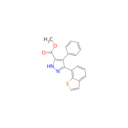 COC(=O)c1[nH]nc(-c2cccc3ccsc23)c1-c1ccccc1